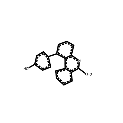 O=Cc1nc2cccc(-c3ccc(O)cc3)c2c2ccccc12